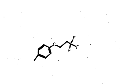 Cc1ccc(OCCC(F)(F)F)cc1